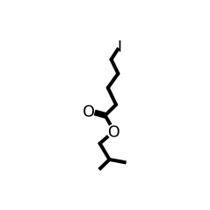 CC(C)COC(=O)CCCCI